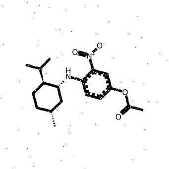 CC(=O)Oc1ccc(N[C@@H]2C[C@H](C)CC[C@H]2C(C)C)c([N+](=O)[O-])c1